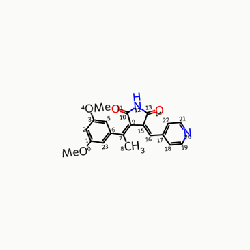 COc1cc(OC)cc(C(C)=C2C(=O)NC(=O)C2=Cc2ccncc2)c1